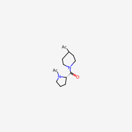 CC(=O)C1CCN(C(=O)[C@@H]2CCCN2C(C)=O)CC1